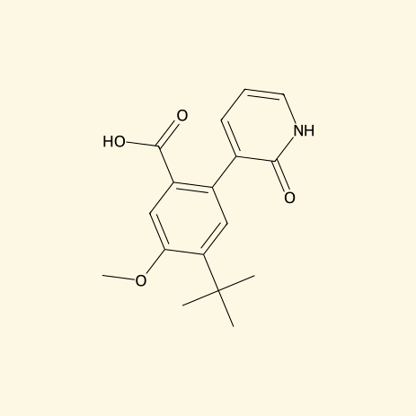 COc1cc(C(=O)O)c(-c2ccc[nH]c2=O)cc1C(C)(C)C